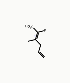 C=CC/C(C)=C(\F)C(=O)O